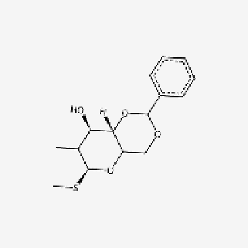 CS[C@@H]1OC2COC(c3ccccc3)O[C@H]2[C@H](O)C1C